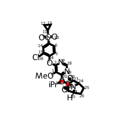 COc1c(Oc2ccc(S(=O)(=O)C3CC3)cc2Cl)ncnc1O[C@H]1CC2CC[C@@H](C1)N2S(=O)(=O)CC(C)C